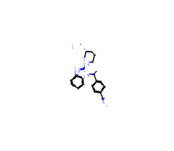 CC(c1ccc(C#N)cc1)n1c(N2CCCC(N)C2)nc2ccccc21